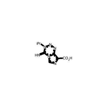 CC(C)n1nnc2c(C(=O)O)ncn2c1=N